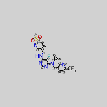 CS(=O)(=O)c1ccc(CNc2ncnc(N(Cc3ccc(C(F)(F)F)nc3)C3CC3)c2F)cn1